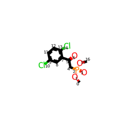 COP(=O)(CC(=O)c1cc(Cl)ccc1Cl)OC